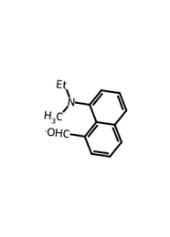 CCN(C)c1cccc2cccc([C]=O)c12